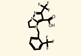 O=C(O)c1c(C(F)(F)F)nn2c1N(Cc1ccccc1C(F)(F)F)CC2